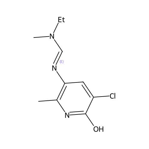 CCN(C)/C=N/c1cc(Cl)c(O)nc1C